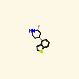 C[C@@H]1C[C@H](c2cccc3sccc23)CCN1